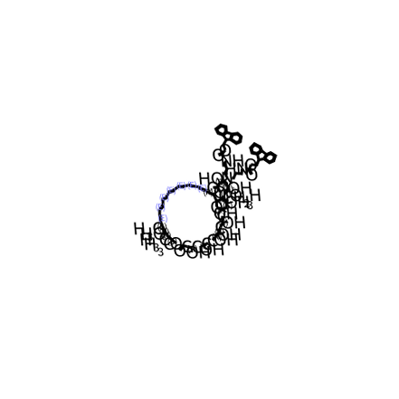 C[C@@H]1[C@H](O)[C@@H](C)/C=C/C=C/C=C/C=C/C=C/C=C/C=C/[C@H](OC2O[C@H](C)[C@@H](O)[C@H](N(CCCNC(=O)OCC3c4ccccc4-c4ccccc43)CCCNC(=O)OCC3c4ccccc4-c4ccccc43)[C@@H]2O)CC2O[C@](O)(C[C@@H](O)C[C@@H](O)[C@H](O)CC[C@@H](O)C[C@@H](O)CC(=O)O[C@H]1C)C[C@H](O)[C@H]2C(=O)O